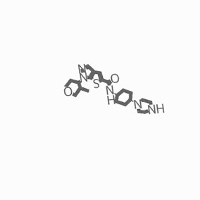 CC1COCCC1n1ncc2cc(C(=O)N[C@H]3CC[C@@H](N4CCNCC4)CC3)sc21